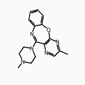 Cc1cnc2c(n1)Oc1ccccc1N=C2N1CCN(C)CC1